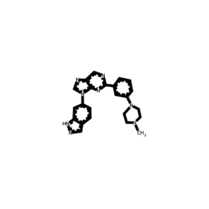 CN1CCN(c2cc[c]c(-c3ncc4ncn(-c5ccc6cn[nH]c6c5)c4n3)c2)CC1